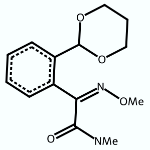 CNC(=O)/C(=N\OC)c1ccccc1C1OCCCO1